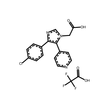 O=C(O)C(F)(F)F.O=C(O)Cn1cnc(-c2ccc(Cl)cc2)c1-c1ccncc1